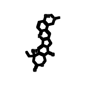 CCC1(O)CC(=O)OCc2c1cc1n(c2=O)Cc2cc3c(CN(C)C)c(O)ccc3nc2-1